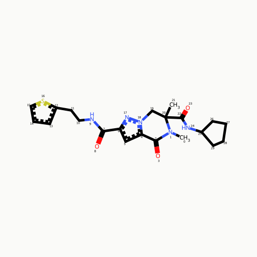 CN1C(=O)c2cc(C(=O)NCCc3cccs3)nn2CC1(C)C(=O)NC1CCCC1